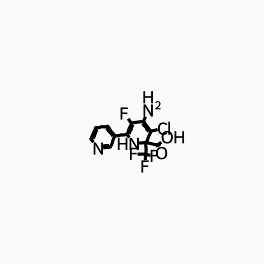 NC1=C(Cl)C(C(=O)O)(C(F)(F)F)NC(c2cccnc2)=C1F